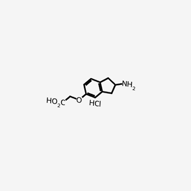 Cl.NC1Cc2ccc(OCC(=O)O)cc2C1